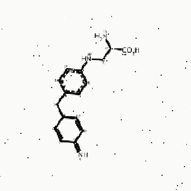 N=C1C=CC(Cc2ccc(NC[C@@H](N)C(=O)O)cc2)C=C1